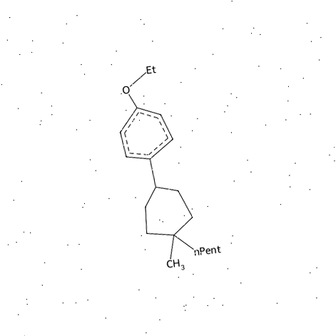 CCCCCC1(C)CCC(c2ccc(OCC)cc2)CC1